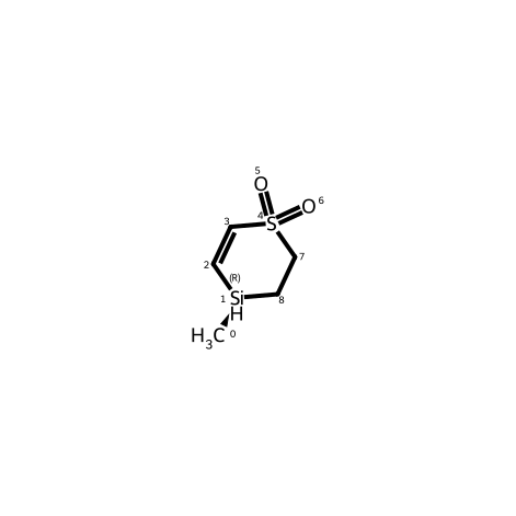 C[Si@H]1C=CS(=O)(=O)CC1